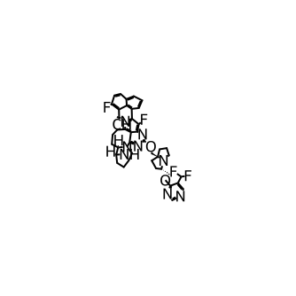 C#Cc1c(F)ccc2cccc(-c3nc4c5c(nc(OC[C@@]67CCCN6[C@H](COc6ncncc6C(F)F)CC7)nc5c3F)N3CC5CC[C@H](N5)[C@H]3CCC4)c12